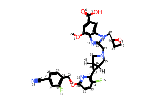 COc1cc(C(=O)O)cc2c1nc(CN1C[C@@H]3C(c4nc(OCc5ccc(C#N)cc5F)ccc4F)[C@@H]3C1)n2C[C@@H]1CCO1